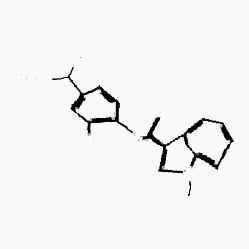 CCC(C(=O)O)c1ccc(NC(=O)c2cn(C)c3ccccc23)c(Cl)c1